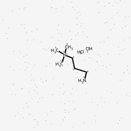 C[N+](C)(C)CCCN.Cl.Cl